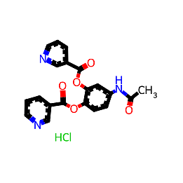 CC(=O)Nc1ccc(OC(=O)c2cccnc2)c(OC(=O)c2cccnc2)c1.Cl